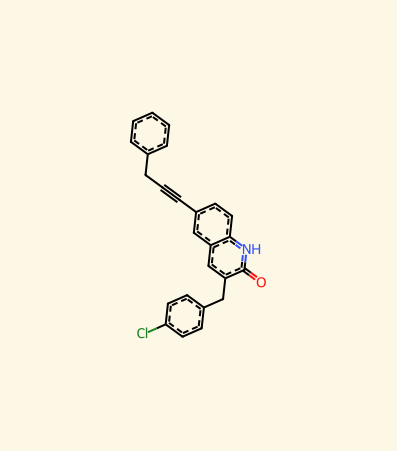 O=c1[nH]c2ccc(C#CCc3ccccc3)cc2cc1Cc1ccc(Cl)cc1